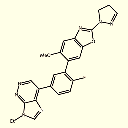 CCn1cnc2c(-c3ccc(F)c(-c4cc5oc(N6CCC=N6)nc5cc4OC)c3)cnnc21